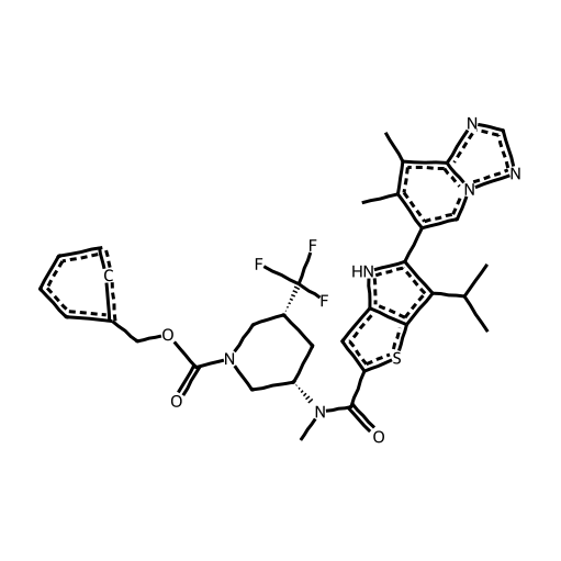 Cc1c(-c2[nH]c3cc(C(=O)N(C)[C@H]4C[C@@H](C(F)(F)F)CN(C(=O)OCc5ccccc5)C4)sc3c2C(C)C)cn2ncnc2c1C